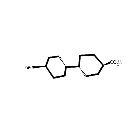 CCC[C@H]1CC[C@H]([C@H]2CC[C@H](C(=O)O)CC2)CC1